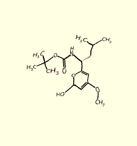 COC1=CC(O)OC([C@@H](CC(C)C)NC(=O)OC(C)(C)C)=C1